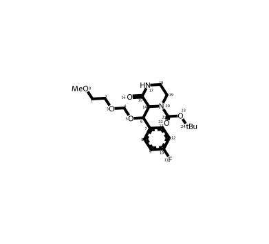 COCCOCOC(c1ccc(F)cc1)C1C(=O)NCCN1C(=O)OC(C)(C)C